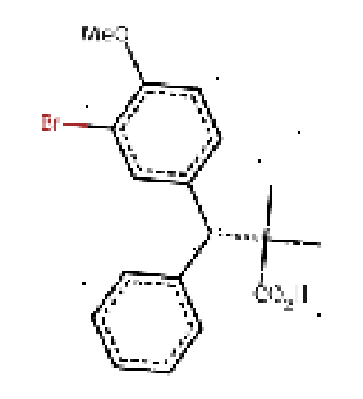 COc1ccc([C@@H](c2ccccc2)C(C)(C)C(=O)O)cc1Br